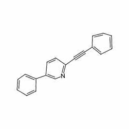 C(#Cc1ccc(-c2ccccc2)cn1)c1ccccc1